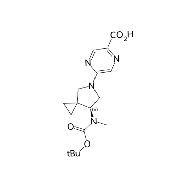 CN(C(=O)OC(C)(C)C)[C@@H]1CN(c2cnc(C(=O)O)cn2)CC12CC2